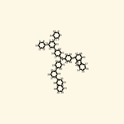 c1ccc(-c2cc(-c3ccccc3)cc(-c3ccc(N(c4ccc(-c5cccc(-c6ccc7ccccc7c6)c5)cc4)c4ccc(-c5cccc6c5sc5ccccc56)cc4)cc3)c2)cc1